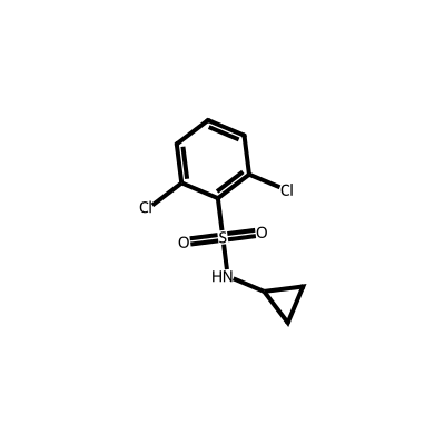 O=S(=O)(NC1CC1)c1c(Cl)cccc1Cl